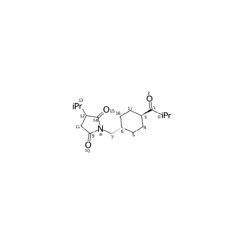 CC(C)C(=O)[C@H]1CC[C@H](CN2C(=O)CC(C(C)C)C2=O)CC1